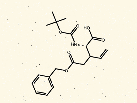 C=CC(CC(=O)OCc1ccccc1)[C@H](NC(=O)OC(C)(C)C)C(=O)O